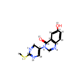 CSc1ncc(-n2cnc3ccc(O)cc3c2=O)cn1